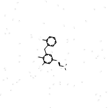 CCN(C)C=Nc1cc(C)c(Cl)c(Cc2ccccc2C#N)c1